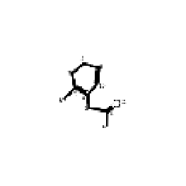 CC(=O)CC1=C(C)CCC=C1